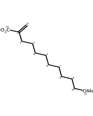 C=C(CCCCCCCCCOC)C(=O)O